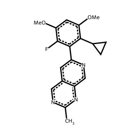 COc1cc(OC)c(C2CC2)c(-c2cc3cnc(C)nc3cn2)c1F